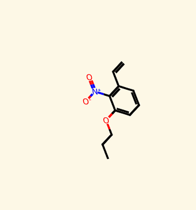 C=Cc1cccc(OCCC)c1[N+](=O)[O-]